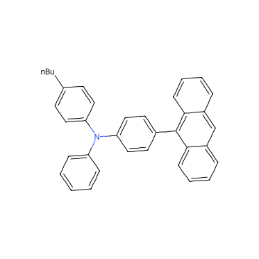 CCCCc1ccc(N(c2ccccc2)c2ccc(-c3c4ccccc4cc4ccccc34)cc2)cc1